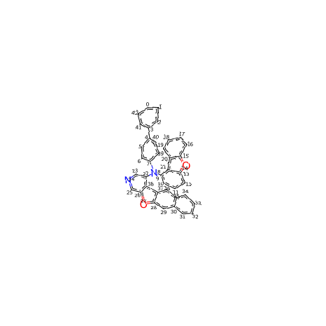 c1ccc(-c2ccc(N(c3cccc4oc5ccccc5c34)c3cncc4oc5cc6ccccc6cc5c34)cc2)cc1